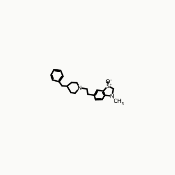 CN1C[S+]([O-])c2cc(CCN3CCC(Cc4ccccc4)CC3)ccc21